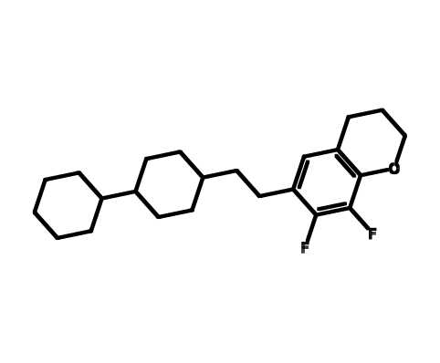 Fc1c(CCC2CCC(C3CCCCC3)CC2)cc2c(c1F)OCCC2